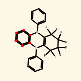 FC1(F)C(P(c2ccccc2)c2ccccc2)=C(P(c2ccccc2)c2ccccc2)C(F)(F)C(F)(F)C1(F)F